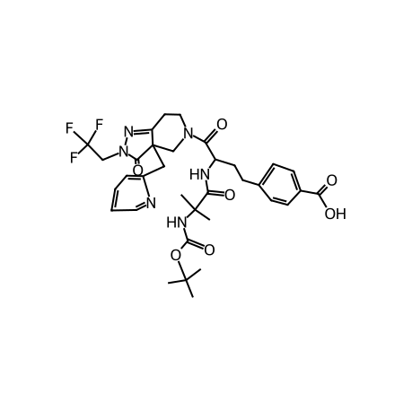 CC(C)(C)OC(=O)NC(C)(C)C(=O)NC(CCc1ccc(C(=O)O)cc1)C(=O)N1CCC2=NN(CC(F)(F)F)C(=O)C2(Cc2ccccn2)C1